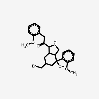 COc1ccccc1CC(=O)C1NCC2C1CC(CBr)CC2(O)c1ccccc1OC